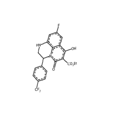 CCOC(=O)c1c(O)c2cc(F)cc3c2n(c1=O)C(c1ccc(C(F)(F)F)cc1)CN3